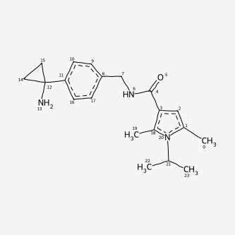 Cc1cc(C(=O)NCc2ccc(C3(N)CC3)cc2)c(C)n1C(C)C